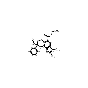 CCOC(=O)c1cc2c(nc(C)n2C)c2c1CCC(OC)(c1ccccc1)O2